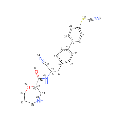 N#CSc1ccc(-c2ccc(C[C@@H](C#N)NC(=O)[C@@H]3CNCCCO3)cc2)cc1